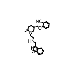 C[C@H]1CC[C@@H](COc2ccccc2C#N)CN1CCNCc1noc2ccccc12